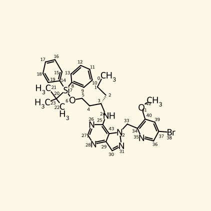 CCC[C@@H](CCO[Si](c1ccccc1)(c1ccccc1)C(C)(C)C)Nc1n[c]nc2cnn(Cc3ncc(Br)cc3OC)c12